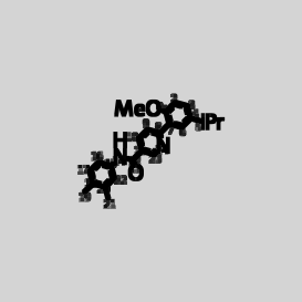 COc1ccc(C(C)C)cc1-c1ccc(C(=O)Nc2ccc(C)c(C)c2)cn1